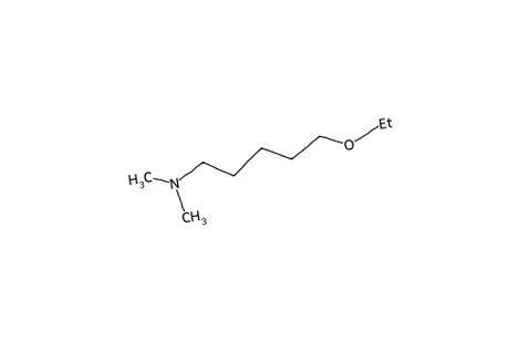 CCOCCCCCN(C)C